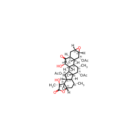 CC(=O)O[C@@H]1[C@H]2[C@H]3[C@H]([C@H](C)[C@H](OC(C)=O)[C@]2(C)[C@@H]2[C@@H]1[C@]1(C)[C@H](C[C@H]2C)OC(=O)[C@@]1(C)O)[C@]1(C)[C@H](C[C@@H]2O[C@@H]2[C@@H]1OC(C)=O)C(=O)[C@@H]3O